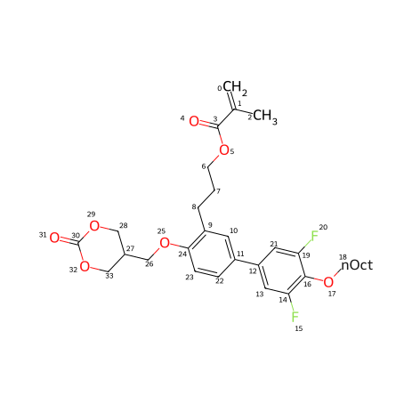 C=C(C)C(=O)OCCCc1cc(-c2cc(F)c(OCCCCCCCC)c(F)c2)ccc1OCC1COC(=O)OC1